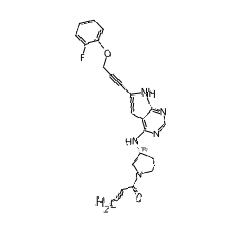 C=CC(=O)N1CC[C@@H](Nc2ncnc3[nH]c(C#CCOc4ccccc4F)cc23)C1